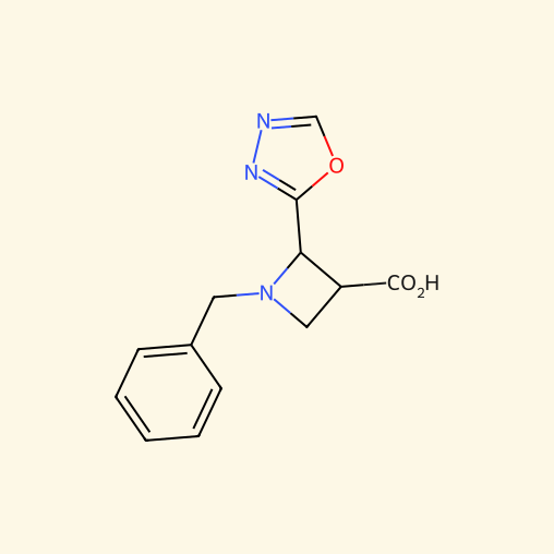 O=C(O)C1CN(Cc2ccccc2)C1c1nnco1